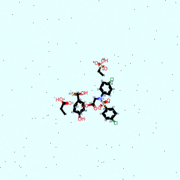 CCC(=O)O.CCS(=O)(=O)O.O=C(O)CN(c1ccc(Cl)cc1)S(=O)(=O)c1ccc(Cl)cc1.OC(=S)c1ccc(O)cc1